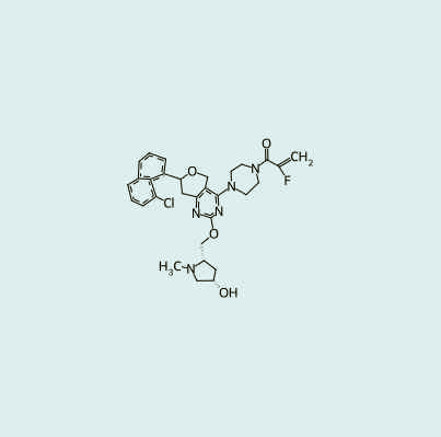 C=C(F)C(=O)N1CCN(c2nc(OC[C@@H]3C[C@H](O)CN3C)nc3c2COC(c2cccc4cccc(Cl)c24)C3)CC1